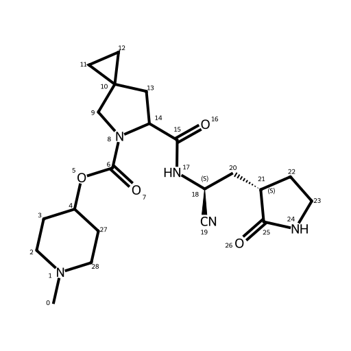 CN1CCC(OC(=O)N2CC3(CC3)CC2C(=O)N[C@H](C#N)C[C@@H]2CCNC2=O)CC1